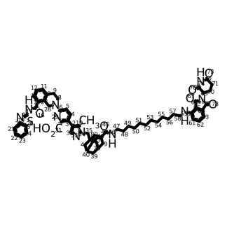 Cc1c(-c2ccc(N3CCc4cccc(C(=O)Nc5nc6ccccc6s5)c4C3)nc2C(=O)O)cnn1CC12CC3CC(C1)CC(C(=O)NCCCCCCCCCCCCNc1cccc4c1C(=O)N(C1CCC(=O)NC1=O)C4=O)(C3)C2